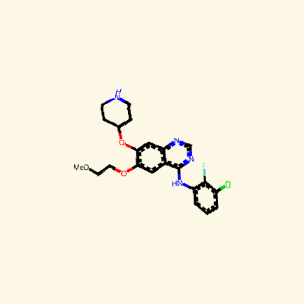 COCCOc1cc2c(Nc3cccc(Cl)c3F)ncnc2cc1OC1CCNCC1